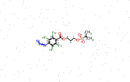 C=C(C)S(=O)(=O)OCCCOC(=O)c1c(F)c(F)c(N=[N+]=[N-])c(F)c1F